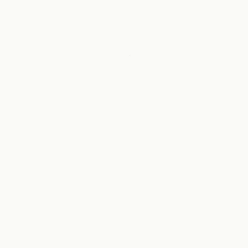 CC(CCOCc1ccccc1)OCCC(C)OS(C)(=O)=O